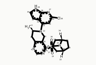 C[C@@H]1Cc2ncnc([C@H]3C[C@H]4CC[C@@H](C3)N4S(C)(=O)=O)c2CN1c1cc(Cl)nc2[nH]ccc12